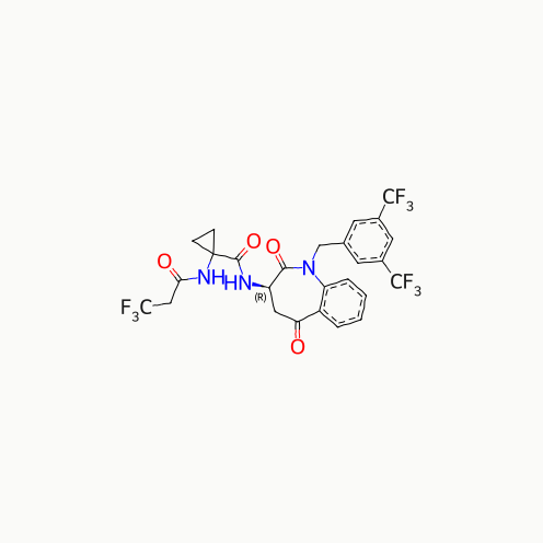 O=C(CC(F)(F)F)NC1(C(=O)N[C@@H]2CC(=O)c3ccccc3N(Cc3cc(C(F)(F)F)cc(C(F)(F)F)c3)C2=O)CC1